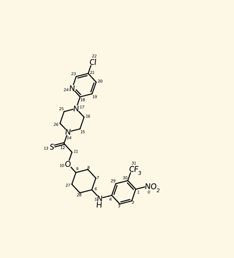 O=[N+]([O-])c1ccc(NC2CCC(OCC(=S)N3CCN(c4ccc(Cl)cn4)CC3)CC2)cc1C(F)(F)F